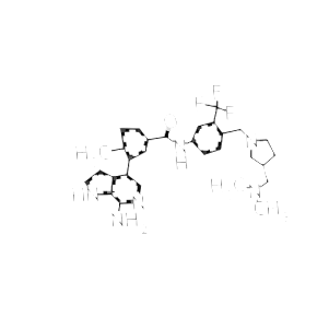 Cc1ccc(C(=O)Nc2ccc(CN3CC[C@@H](CN(C)C)C3)c(C(F)(F)F)c2)cc1-c1cnc(N)c2[nH]ccc12